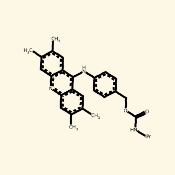 Cc1cc2nc3cc(C)c(C)cc3c(Nc3ccc(COC(=O)NC(C)C)cc3)c2cc1C